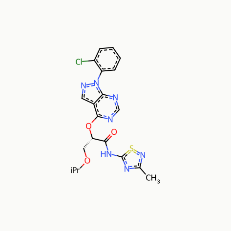 Cc1nsc(NC(=O)[C@H](COC(C)C)Oc2ncnc3c2cnn3-c2ccccc2Cl)n1